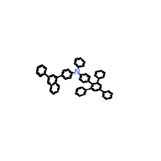 c1ccc(-c2cc(-c3ccccc3)c(-c3ccc(N(c4ccccc4)c4ccc(-c5cc(-c6ccccc6)cc6ccccc56)cc4)cc3)c(-c3ccccc3)c2)cc1